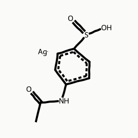 CC(=O)Nc1ccc(S(=O)O)cc1.[Ag]